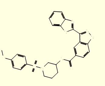 COc1ccc(S(=O)(=O)N2CCCC(NC(=O)c3ccc4[nH]nc(-c5nc6ccccc6[nH]5)c4c3)C2)cc1